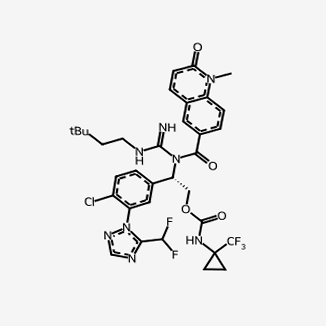 Cn1c(=O)ccc2cc(C(=O)N(C(=N)NCCC(C)(C)C)[C@H](COC(=O)NC3(C(F)(F)F)CC3)c3ccc(Cl)c(-n4ncnc4C(F)F)c3)ccc21